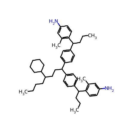 CCCCC(CCC(c1ccc(C(CCC)c2ccc(N)cc2C)cc1)c1ccc(C(CCC)c2ccc(N)cc2C)cc1)C1CCCCC1